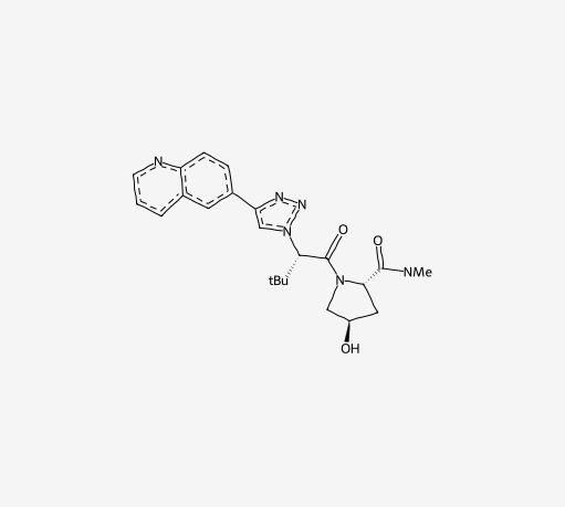 CNC(=O)[C@@H]1C[C@@H](O)CN1C(=O)[C@@H](n1cc(-c2ccc3ncccc3c2)nn1)C(C)(C)C